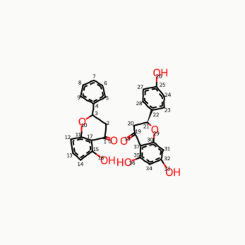 O=C1CC(c2ccccc2)Oc2cccc(O)c21.O=C1C[C@@H](c2ccc(O)cc2)Oc2cc(O)cc(O)c21